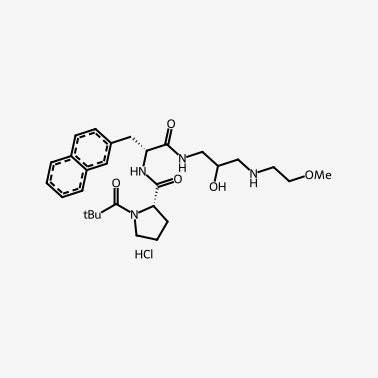 COCCNCC(O)CNC(=O)[C@@H](Cc1ccc2ccccc2c1)NC(=O)[C@@H]1CCCN1C(=O)C(C)(C)C.Cl